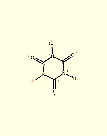 [3H]n1c(=O)n([3H])c(=O)n([3H])c1=O